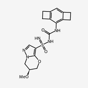 CO[C@@H]1COc2c(S(=N)(=O)NC(=O)Nc3c4c(cc5c3CC5)CC4)cnn2C1